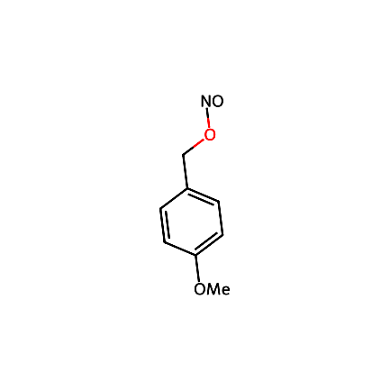 COc1ccc(CON=O)cc1